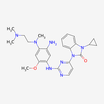 COc1cc(N(C)CCN(C)C)c(N)cc1Nc1nccc(-n2c(=O)n(C3CC3)c3ccccc32)n1